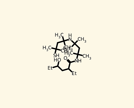 CCC(O)CC(CC)C(=O)NC(C)(C)CC(C)(C)NC(C)(C)CC(C)(C)S